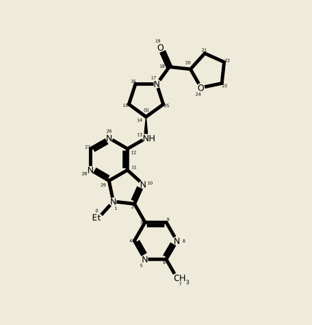 CCn1c(-c2cnc(C)nc2)nc2c(N[C@H]3CCN(C(=O)C4CCCO4)C3)ncnc21